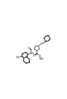 CC(C)(C)OC(=O)N1C[C@H](OCc2ccccc2)C[C@H]1C(=O)Nc1ccc(C#N)c2ccccc12